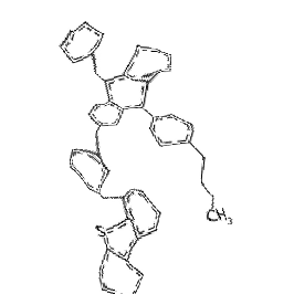 CCCCc1ccc(-c2c3ccccc3c(-c3ccccc3)c3ccc(-c4cccc(-c5cccc6c5sc5ccccc56)c4)cc23)cc1